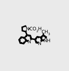 Cc1c[nH]c2ncc(-c3cc(C4CCCN4C(=O)O)c4ccccc4n3)cc12